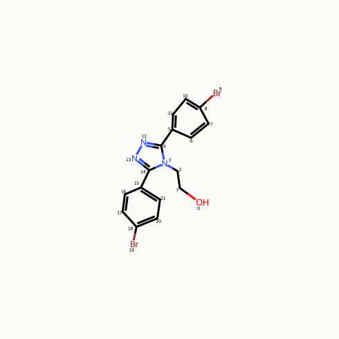 OCCn1c(-c2ccc(Br)cc2)nnc1-c1ccc(Br)cc1